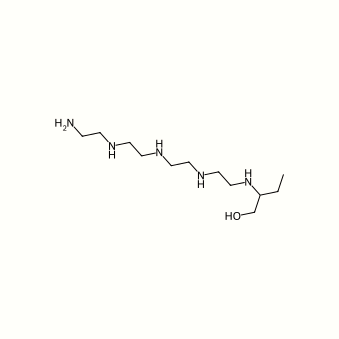 CCC(CO)NCCNCCNCCNCCN